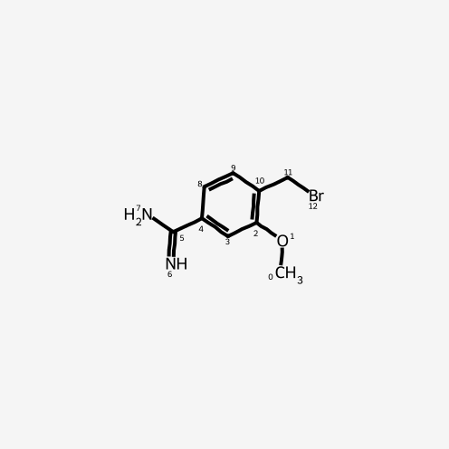 COc1cc(C(=N)N)ccc1CBr